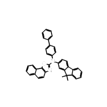 CC1(C)c2ccccc2-c2ccc(N(c3ccc(-c4ccccc4)cc3)c3nc4ccc5ccccc5c4o3)cc21